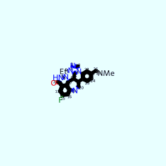 CCn1ncnc1C1c2n[nH]c(=O)c3cc(F)cc(c23)N=CC1c1ccc(CNC)cc1